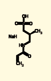 C=CC(=O)NC[C@H](C)CS(=O)(=O)O.[NaH]